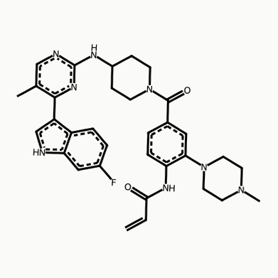 C=CC(=O)Nc1ccc(C(=O)N2CCC(Nc3ncc(C)c(-c4c[nH]c5cc(F)ccc45)n3)CC2)cc1N1CCN(C)CC1